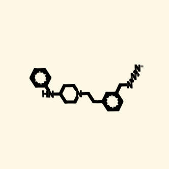 [N-]=[N+]=NCc1cccc(CCN2CCC(Nc3ccccc3)CC2)c1